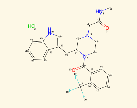 CNC(=O)CN1CCN(C(=O)c2ccccc2C(F)(F)F)C(Cc2c[nH]c3ccccc23)C1.Cl